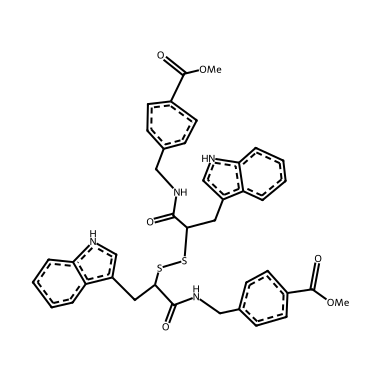 COC(=O)c1ccc(CNC(=O)C(Cc2c[nH]c3ccccc23)SSC(Cc2c[nH]c3ccccc23)C(=O)NCc2ccc(C(=O)OC)cc2)cc1